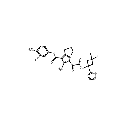 Cc1ccc(NC(=O)c2c(C)c(C(=O)C(=O)NC3(c4nncs4)CC(F)(F)C3)n3c2CCC3)cc1F